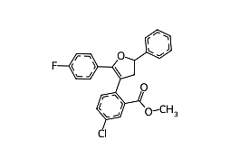 COC(=O)c1cc(Cl)ccc1C1=C(c2ccc(F)cc2)OC(c2ccccc2)C1